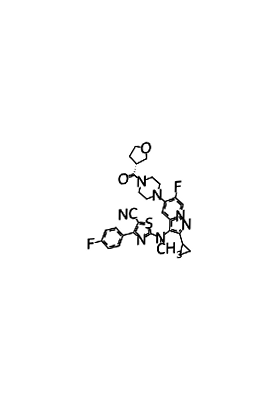 CN(c1nc(-c2ccc(F)cc2)c(C#N)s1)c1c(C2CC2)nn2cc(F)c(N3CCN(C(=O)[C@@H]4CCOC4)CC3)cc12